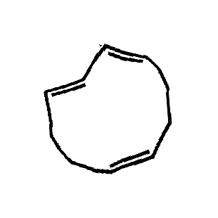 [C]1=C\CC/C=C\CC/C=C/1